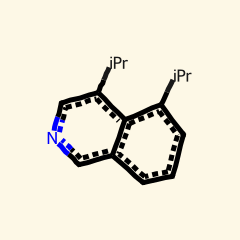 CC(C)c1cccc2cncc(C(C)C)c12